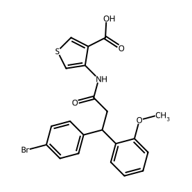 COc1ccccc1C(CC(=O)Nc1cscc1C(=O)O)c1ccc(Br)cc1